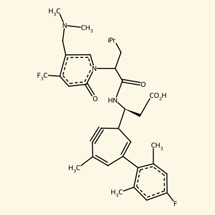 CC1=CC(c2c(C)cc(F)cc2C)=CC([C@H](CC(=O)O)NC(=O)C(CC(C)C)n2cc(CN(C)C)c(C(F)(F)F)cc2=O)C#C1